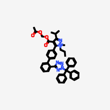 CCC[N+]1(C)N=C(C(C)C)C(C(=O)OCOC(C)=O)=C1c1ccc(-c2ccccc2-c2nnn(C(c3ccccc3)(c3ccccc3)c3ccccc3)n2)cc1